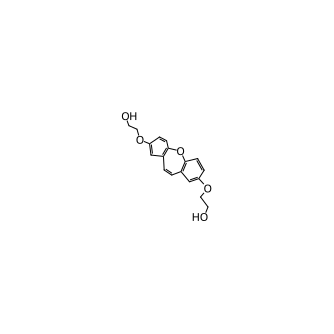 OCCOc1ccc2c(c1)C=Cc1cc(OCCO)ccc1O2